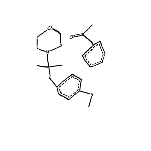 CC(=O)c1ccccc1.CSc1ccc(CC(C)(C)N2CCOCC2)cc1